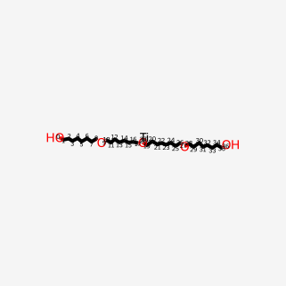 OCCCCCCCCOCCCCCCCCOCCCCCCCCOCCCCCCCCO.[Ti]